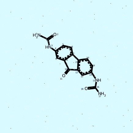 NC(=O)Nc1ccc2c(c1)C(=O)c1cc(NC(N)=O)ccc1-2